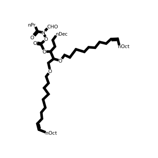 CCCCCCCC/C=C\CCCCCCCCOCC(OCCCCCCCC/C=C\CCCCCCCC)C(CCCCCCCCCCCC)OC(=O)ON(C=O)C(=O)CCC